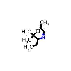 C=C/C=N\C(CC)C(C)(C)C